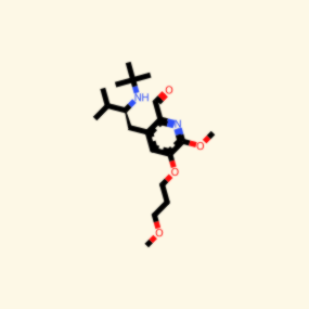 COCCCOc1cc(C[C@H](NC(C)(C)C)C(C)C)c(C=O)nc1OC